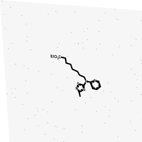 CCOC(=O)CCCCCCCN(c1ccccn1)c1nc(C)ns1